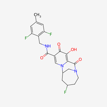 Cc1cc(F)c(CNC(=O)c2cn3c(c(O)c2=O)C(=O)N2CCC(F)CC3C2)c(F)c1